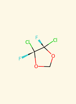 F[C@]1(Cl)OCO[C@@]1(F)Cl